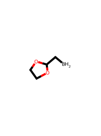 BCC1OCCO1